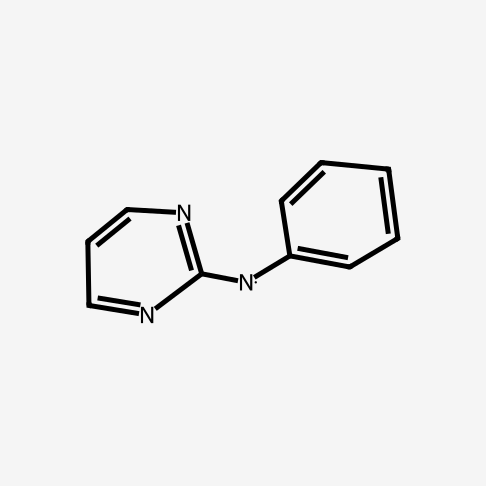 c1ccc([N]c2ncccn2)cc1